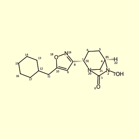 O=C1N(O)[C@@H]2CC[C@@H](c3cc(CC4CCCCC4)on3)N1C2